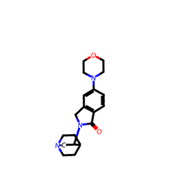 O=C1c2ccc(N3CCOCC3)cc2CN1C1CN2CCC1CC2